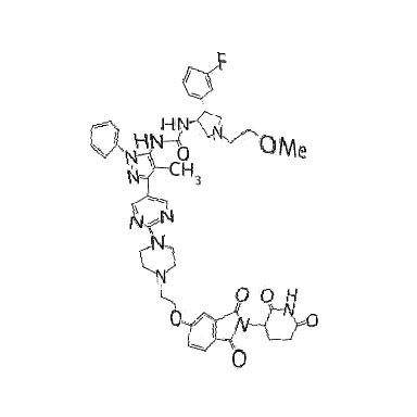 COCCN1C[C@@H](NC(=O)Nc2c(C)c(-c3cnc(N4CCN(CCOc5ccc6c(c5)C(=O)N(C5CCC(=O)NC5=O)C6=O)CC4)nc3)nn2-c2ccccc2)[C@H](c2cccc(F)c2)C1